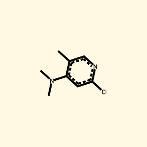 Cc1cnc(Cl)cc1N(C)C